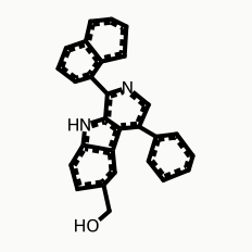 OCc1ccc2[nH]c3c(-c4cccc5ccccc45)ncc(-c4ccccc4)c3c2c1